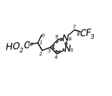 CC(Cc1cnn(CC(F)(F)F)c1)C(=O)O